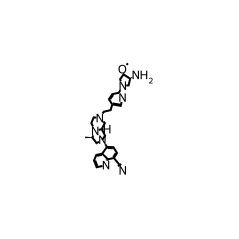 CO[C@H]1CN(c2ccc(CCN3CCN4[C@@H](C3)CN(c3ccc(C#N)c5ncccc35)C[C@H]4C)cn2)C[C@H]1N